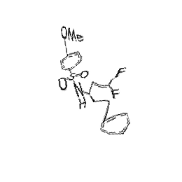 COc1ccc(S(=O)(=O)N[C@@H](C=C(F)F)CCc2ccccc2)cc1